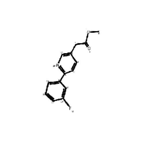 COC(=O)Cc1ccc(-c2cccc(F)c2)nc1